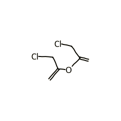 C=C(CCl)OC(=C)CCl